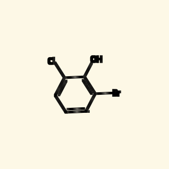 Oc1c(Br)[c]ccc1Cl